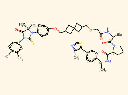 Cc1ncsc1-c1ccc([C@H](C)NC(=O)[C@@H]2CCCN2C(=O)C(NC(=O)COCC2CC3(C2)CC(COc2ccc(N4C(=S)N(c5ccc(C#N)c(C(F)(F)F)c5)C(=O)C4(C)C)cc2)C3)C(C)(C)C)cc1